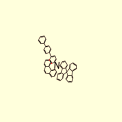 c1ccc(-c2ccc(-c3ccc(N(c4cccc5c4-c4ccccc4C54c5ccccc5-c5ccccc54)c4cccc5ccc6ccccc6c45)cc3)cc2)cc1